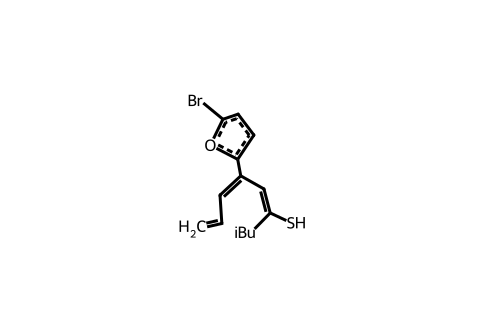 C=C/C=C(\C=C(\S)C(C)CC)c1ccc(Br)o1